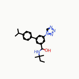 CCC(C)(C)NC(O)c1cc(-c2ccc(C(C)C)cc2)cc(-n2cnnn2)c1